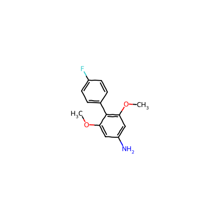 COc1cc(N)cc(OC)c1-c1ccc(F)cc1